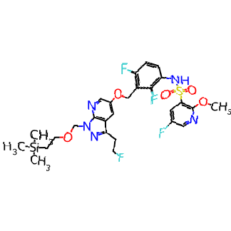 COc1ncc(F)cc1S(=O)(=O)Nc1ccc(F)c(COc2cnc3c(c2)c(CCF)nn3COCC[Si](C)(C)C)c1F